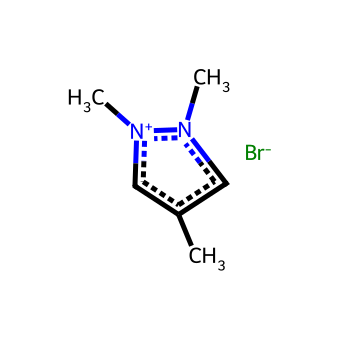 Cc1cn(C)[n+](C)c1.[Br-]